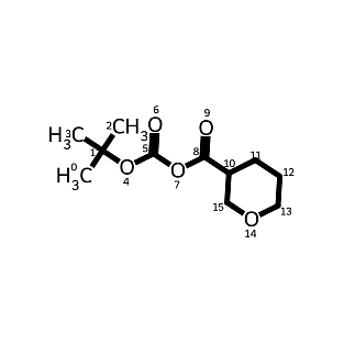 CC(C)(C)OC(=O)OC(=O)C1CCCOC1